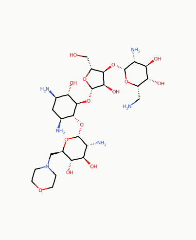 NC[C@@H]1O[C@H](O[C@H]2[C@@H](O)[C@H](O[C@@H]3[C@@H](O)[C@H](N)C[C@H](N)[C@H]3O[C@H]3O[C@H](CN4CCOCC4)[C@@H](O)[C@H](O)[C@H]3N)O[C@@H]2CO)[C@H](N)[C@@H](O)[C@@H]1O